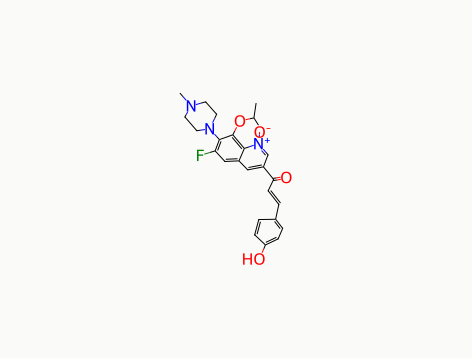 CC(C)Oc1c(N2CCN(C)CC2)c(F)cc2cc(C(=O)C=Cc3ccc(O)cc3)c[n+]([O-])c12